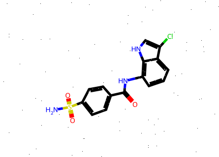 NS(=O)(=O)c1ccc(C(=O)Nc2cccc3c(Cl)c[nH]c23)cc1